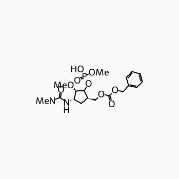 CNC(=O)N[C@H]1C[C@H](COC(=O)OCc2ccccc2)C(OP(=O)(O)OC)[C@@H]1OC